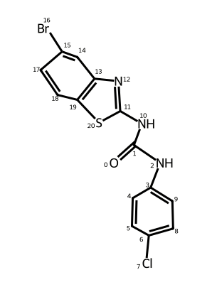 O=C(Nc1ccc(Cl)cc1)Nc1nc2cc(Br)ccc2s1